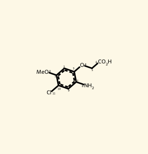 COc1cc(OCC(=O)O)c(N)cc1Cl